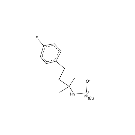 CC(C)(CCc1ccc(F)cc1)N[S@+]([O-])C(C)(C)C